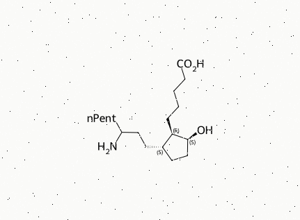 CCCCCC(N)CC[C@H]1CC[C@H](O)[C@@H]1CCCCC(=O)O